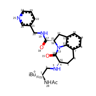 CC[C@H](C)[C@@H](CN[C@H]1CCc2cccc3c2N(C1=O)[C@H](C(=O)NCc1cccnc1)C3)NC(C)=O